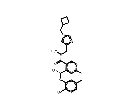 C[C@@H](Oc1cc(I)cnc1N)c1cc(F)ccc1C(=O)N(C)Cc1cn(CC2CCC2)nn1